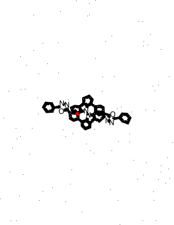 c1ccc(-c2nnc(-c3ccc(-c4cccc5c6ccccc6n(-n6c7ccccc7c7cccc(-c8ccc(-c9nnc(-c%10ccccc%10)o9)cc8)c76)c45)cc3)o2)cc1